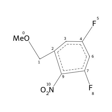 COCc1cc(F)cc(F)c1[N+](=O)[O-]